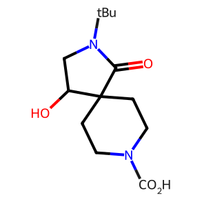 CC(C)(C)N1CC(O)C2(CCN(C(=O)O)CC2)C1=O